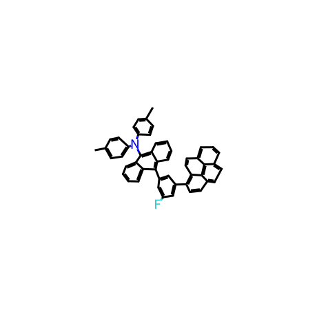 Cc1ccc(N(c2ccc(C)cc2)c2c3ccccc3c(-c3cc(F)cc(-c4ccc5ccc6cccc7ccc4c5c67)c3)c3ccccc23)cc1